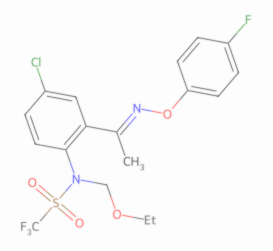 CCOCN(c1ccc(Cl)cc1/C(C)=N/Oc1ccc(F)cc1)S(=O)(=O)C(F)(F)F